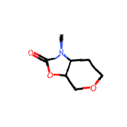 CN1C(=O)OC2COCCC21